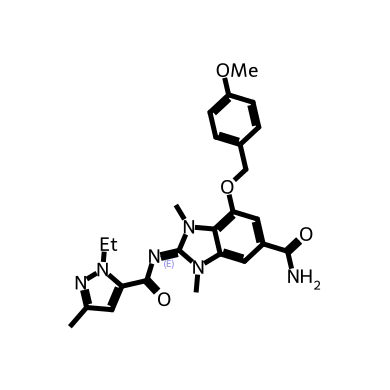 CCn1nc(C)cc1C(=O)/N=c1\n(C)c2cc(C(N)=O)cc(OCc3ccc(OC)cc3)c2n1C